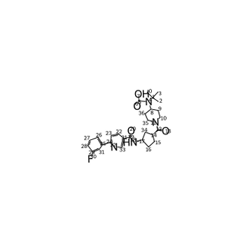 CC(C)(C)N(C(=O)O)C1CCN(C(=O)[C@H]2CC[C@@H](NC(=O)c3ccc(-c4cccc(F)c4)nc3)C2)CC1